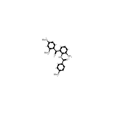 COc1ccc(C(=O)Nc2c(N)cccc2C(=O)c2ccc(OC)cc2OC)cc1